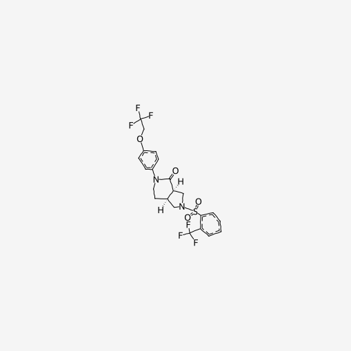 O=C1[C@H]2CN(S(=O)(=O)c3ccccc3C(F)(F)F)C[C@H]2CCN1c1ccc(OCC(F)(F)F)cc1